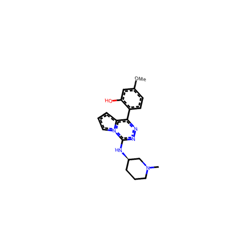 COc1ccc(-c2nnc(N[C@@H]3CCCN(C)C3)n3cccc23)c(O)c1